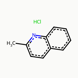 Cc1ccc2ccccc2n1.Cl